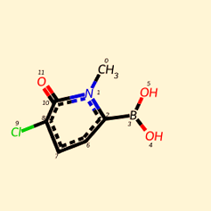 Cn1c(B(O)O)ccc(Cl)c1=O